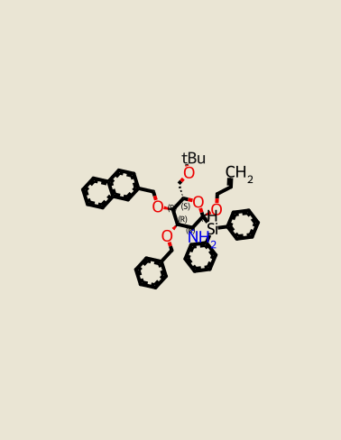 C=CCO[C@]1([SiH](c2ccccc2)c2ccccc2)O[C@@H](COC(C)(C)C)[C@H](OCc2ccc3ccccc3c2)[C@H](OCc2ccccc2)[C@H]1N